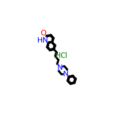 Cl.O=c1ccc2cc(/C=C/CCN3CCN(c4ccccc4)CC3)ccc2[nH]1